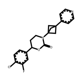 O=C1OC(c2ccc(Cl)c(F)c2)CCN1C12CC(c3ccncc3)(C1)C2